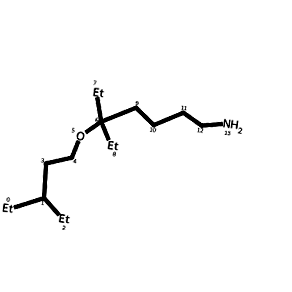 CCC(CC)CCOC(CC)(CC)CCCCN